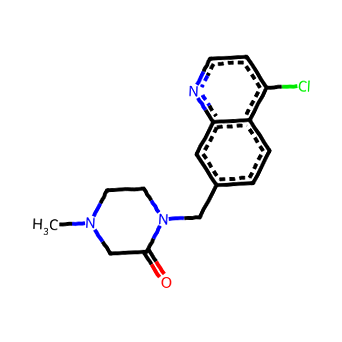 CN1CCN(Cc2ccc3c(Cl)ccnc3c2)C(=O)C1